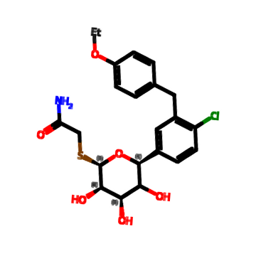 CCOc1ccc(Cc2cc([C@@H]3O[C@H](SCC(N)=O)[C@H](O)[C@H](O)C3O)ccc2Cl)cc1